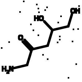 NCC(=O)CC(O)CO